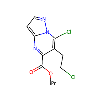 CC(C)OC(=O)c1nc2ccnn2c(Cl)c1CCCl